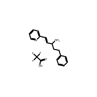 NC(/C=C/c1ccccn1)CCc1ccccc1.O=C(O)C(F)(F)F